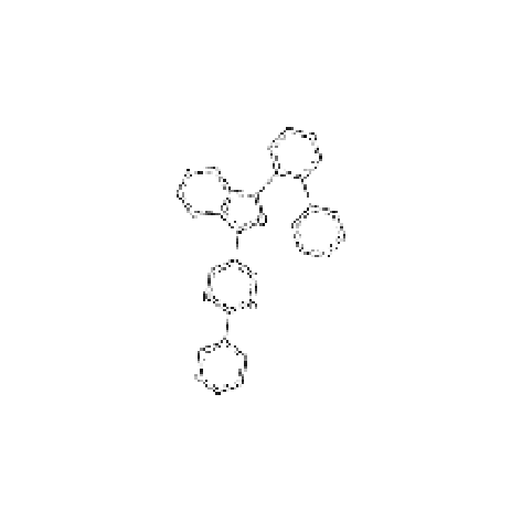 c1ccc(-c2ncc(-c3oc(-c4ccccc4-c4ccccc4)c4ccccc34)cn2)cc1